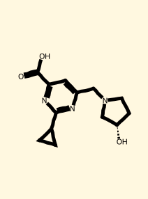 O=C(O)c1cc(CN2CC[C@H](O)C2)nc(C2CC2)n1